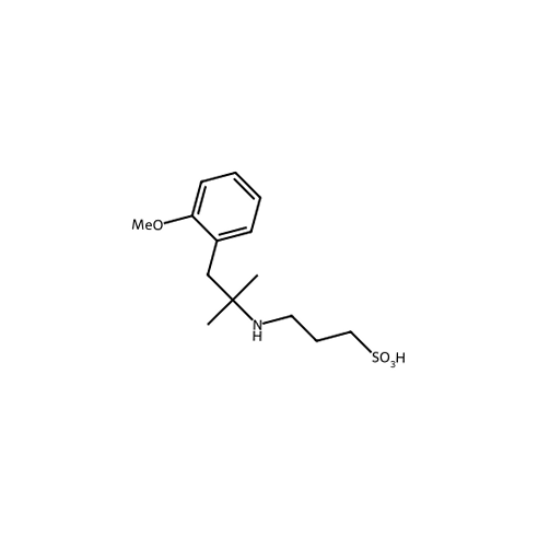 COc1ccccc1CC(C)(C)NCCCS(=O)(=O)O